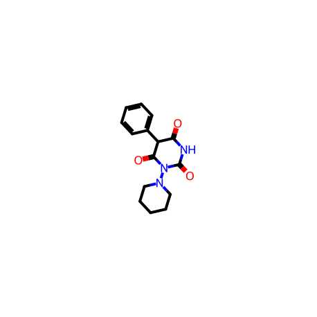 O=C1NC(=O)N(N2CCCCC2)C(=O)C1c1ccccc1